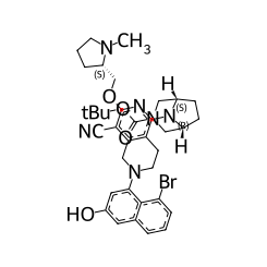 CN1CCC[C@H]1COc1nc(N2[C@@H]3CC[C@H]2CN(C(=O)OC(C)(C)C)C3)c2c(c1C#N)CN(c1cc(O)cc3cccc(Br)c13)CC2